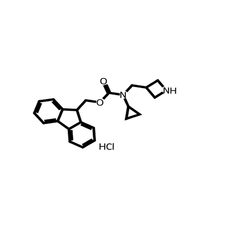 Cl.O=C(OCC1c2ccccc2-c2ccccc21)N(CC1CNC1)C1CC1